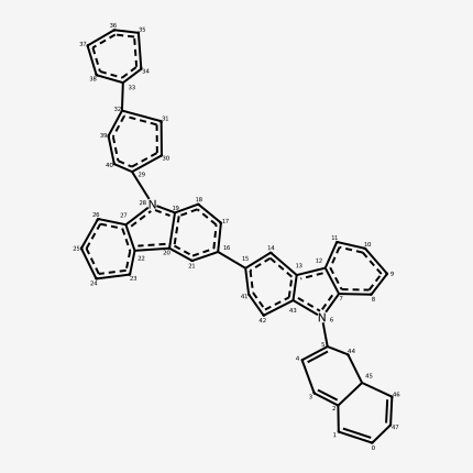 C1=CC2=CC=C(n3c4ccccc4c4cc(-c5ccc6c(c5)c5ccccc5n6-c5ccc(-c6ccccc6)cc5)ccc43)CC2C=C1